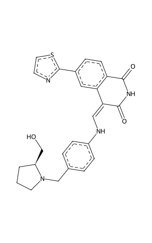 O=C1NC(=O)c2ccc(-c3nccs3)cc2/C1=C/Nc1ccc(CN2CCC[C@H]2CO)cc1